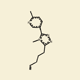 C=CCCCc1nnc(-c2ccc(C)nc2)n1C